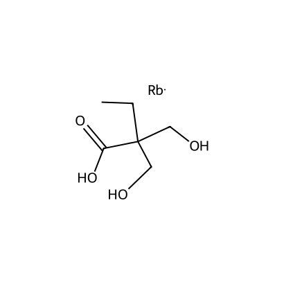 CCC(CO)(CO)C(=O)O.[Rb]